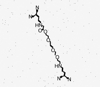 N#CC(C#N)=C/C=C/NCCOCCO/C=C/COCCOC(=O)CN/C=C/C=C(C#N)C#N